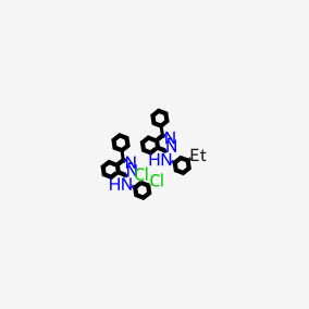 CCc1cccc(Nc2nnc(-c3ccccc3)c3ccccc23)c1.Clc1cccc(Nc2nnc(-c3ccccc3)c3ccccc23)c1Cl